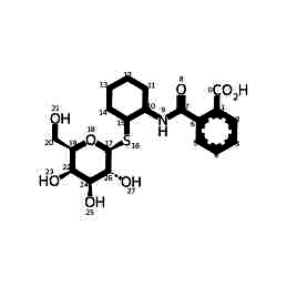 O=C(O)c1ccccc1C(=O)NC1CCCCC1S[C@@H]1O[C@H](CO)[C@H](O)[C@H](O)[C@H]1O